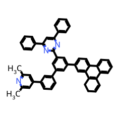 Cc1cc(-c2cccc(-c3cc(-c4ccc5c(c4)c4c(c6ccccc65)C=CCC4)cc(-c4nc(-c5ccccc5)cc(-c5ccccc5)n4)c3)c2)cc(C)n1